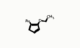 CCOC1=[C]([Ru])CC=C1